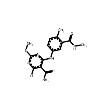 CNC(=O)c1cc(Nc2nc(SC)nc(Cl)c2C(N)=O)ccc1C